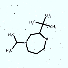 CC(C)N1CCCNC(C(C)(C)C)C1